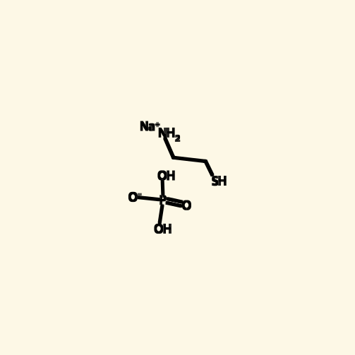 NCCS.O=P([O-])(O)O.[Na+]